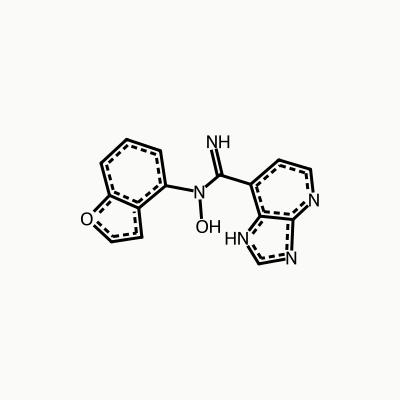 N=C(c1ccnc2nc[nH]c12)N(O)c1cccc2occc12